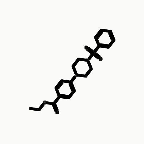 CCOC(=O)c1ccc(N2CCN(S(=O)(=O)c3ccccc3)CC2)cc1